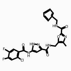 Cc1nc(C(=O)NCc2ccccc2)oc1CNC(=O)c1cc(NC(=O)c2cc(F)c(F)cc2Cl)[nH]n1